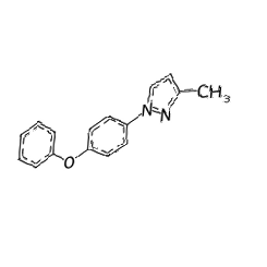 Cc1ccn(-c2ccc(Oc3ccccc3)cc2)n1